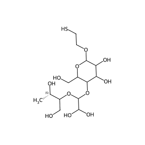 C[C@H](O)C(CO)OC(OC1C(CO)OC(OCCS)C(O)C1O)C(O)O